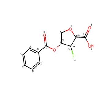 O=C(O[C@@H]1CO[C@@H](C(=O)O)[C@H]1F)c1ccccc1